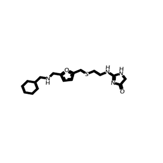 O=C1CNC(NCCSCc2ccc(CNCC3CCCCC3)o2)=N1